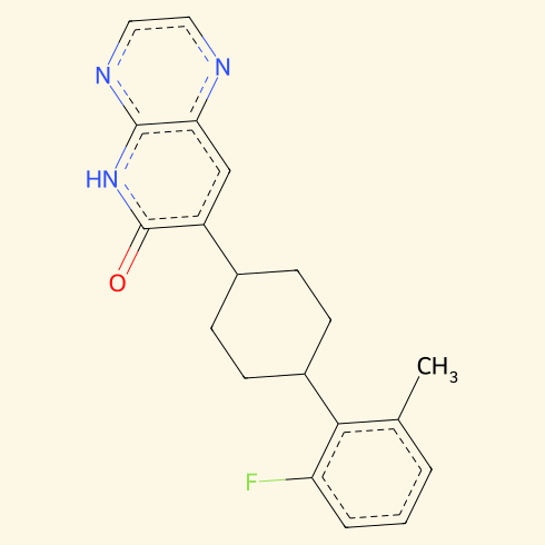 Cc1cccc(F)c1C1CCC(c2cc3nccnc3[nH]c2=O)CC1